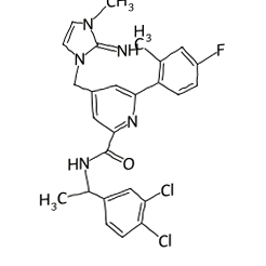 Cc1cc(F)ccc1-c1cc(Cn2ccn(C)c2=N)cc(C(=O)NC(C)c2ccc(Cl)c(Cl)c2)n1